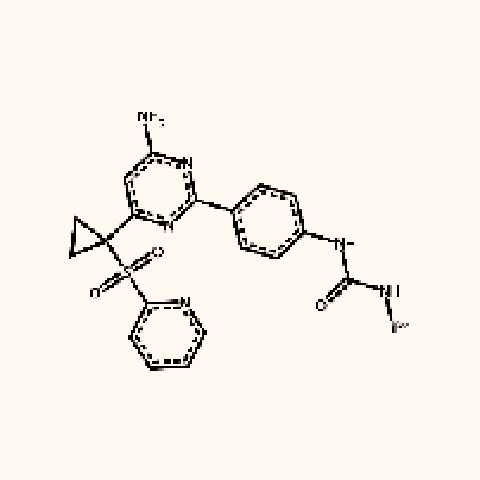 CC(C)NC(=O)Nc1ccc(-c2nc(N)cc(C3(S(=O)(=O)c4ccccn4)CC3)n2)cc1